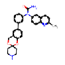 Cc1ccc2cc(N(C(N)=O)c3cccc(-c4ccc5c(c4)COC4(CCNCC4)O5)c3)ccc2n1